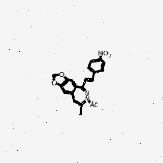 CC(=O)N1N=C(C=Cc2ccc([N+](=O)[O-])cc2)c2cc3c(cc2CC1C)OCO3